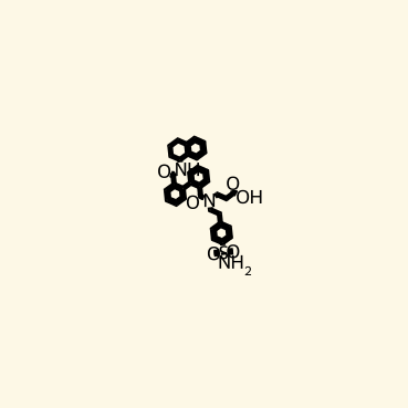 NS(=O)(=O)c1ccc(CCN(CCC(=O)O)C(=O)c2ccccc2-c2ccccc2C(=O)NC2CCCc3ccccc32)cc1